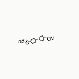 CCCCOc1ccc(-c2ccc(CC#N)cc2)cc1